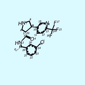 C[C@H](NC(=O)[C@@H]1CNC[C@H]1c1ccc(C(F)(F)F)nc1)c1cccc(Cl)c1